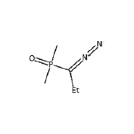 CCC(=[N+]=[N-])P(C)(C)=O